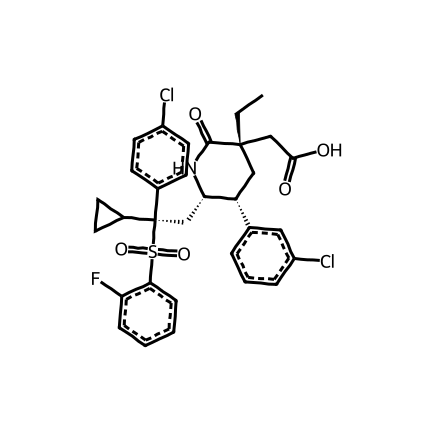 CC[C@@]1(CC(=O)O)C[C@H](c2cccc(Cl)c2)[C@H](C[C@@](c2ccc(Cl)cc2)(C2CC2)S(=O)(=O)c2ccccc2F)NC1=O